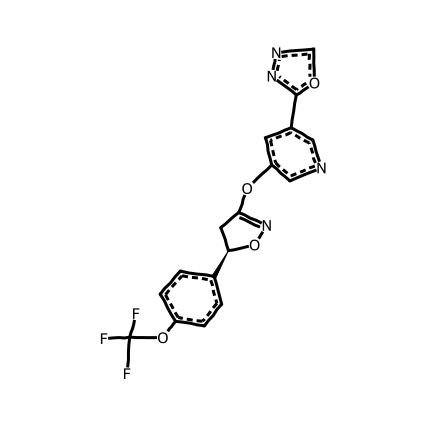 FC(F)(F)Oc1ccc([C@H]2CC(Oc3cncc(-c4nnco4)c3)=NO2)cc1